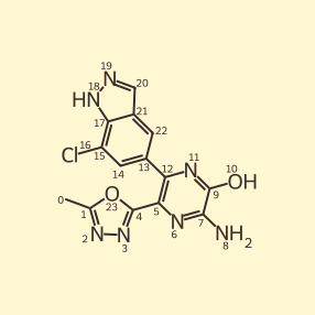 Cc1nnc(-c2nc(N)c(O)nc2-c2cc(Cl)c3[nH]ncc3c2)o1